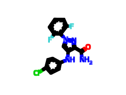 NC(=O)c1nn(-c2c(F)cccc2F)cc1Nc1ccc(Cl)cc1